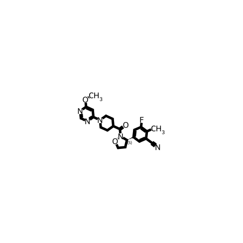 COc1cc(N2CCC(C(=O)N3OCC[C@H]3c3cc(F)c(C)c(C#N)c3)CC2)ncn1